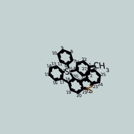 Cc1ccc([Si]2(c3ccccc3)c3ccccc3-c3ccc4sc5ccccc5c4c32)cc1